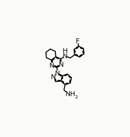 NCc1cccc2c1cnn2-c1nc2c(c(NCc3cccc(F)c3)n1)CCCC2